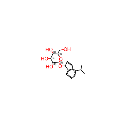 CC(C)c1cccc2c1C=CC2O[C@H]1O[C@H](CO)[C@H](O)[C@H](O)[C@H]1O